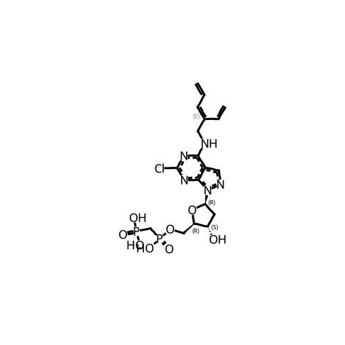 C=C/C=C(\C=C)CNc1nc(Cl)nc2c1cnn2[C@H]1C[C@H](O)[C@@H](COP(=O)(O)CP(=O)(O)O)O1